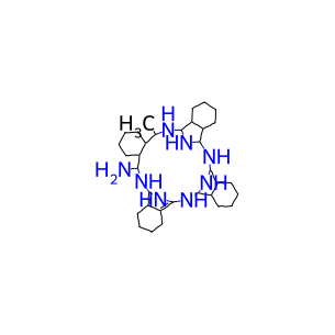 CC1NC2NC(NC3NC(Nc4[nH]c(c5c4CCCC5)NC(N)C4CCCCC14)C1CCCCC31)C1CCCCC21